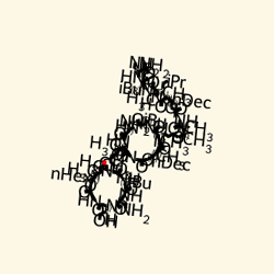 CCCCCCCCCC[C@@H](OC(=O)CNC(=O)[C@@H](C)[C@H](C)OCCC[C@H]1C(=O)N[C@@H]([C@H](C)CC)C(=O)N[C@@H](CN)C(=O)N[C@@H]([C@H](C)OCC(C)C[C@H]2C(=O)N[C@@H]([C@H](C)CC)C(=O)N[C@@H](CN)C(=O)N[C@@H](CCO)C(=O)NCC(=O)O[C@H](CCCCCC)[C@@H](C)C(=O)N2C)C(=O)NCC(=O)O[C@H](CCCCCCCCCC)[C@@H](C)C(=O)N1C)[C@@H](C)C(=O)N(C)[C@@H](CCC(C)C)C(=O)N[C@H](C(=O)N[C@@H](CN)C(N)=O)[C@H](C)CC